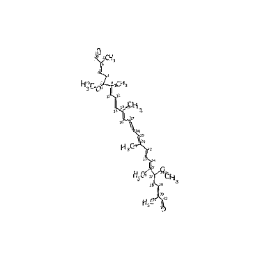 COC(C/C=C(\C)C=O)/C(C)=C/C=C/C(C)=C/C=C/C=C(C)/C=C/C=C(\C)C(C/C=C(\C)C=O)OC